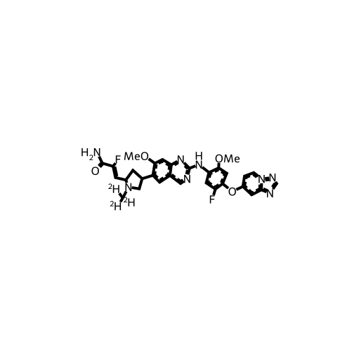 [2H]C([2H])([2H])N1CC(c2cc3cnc(Nc4cc(F)c(Oc5ccn6ncnc6c5)cc4OC)nc3cc2OC)CC1C=C(F)C(N)=O